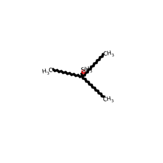 CCCCCCCCCCCCCCCC(CCCCCCCCCCCCCCC)(CCCCCCCCCCCCCCC)CO[SiH3]